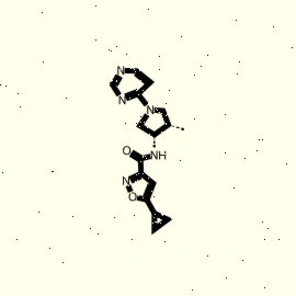 C[C@H]1CN(c2ccncn2)C[C@H]1NC(=O)c1cc(C2CC2)on1